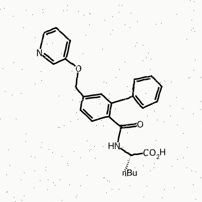 CCCC[C@H](NC(=O)c1ccc(COc2cccnc2)cc1-c1ccccc1)C(=O)O